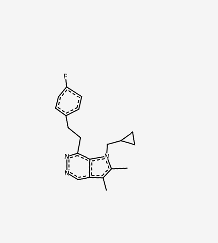 Cc1c(C)n(CC2CC2)c2c(CCc3ccc(F)cc3)nncc12